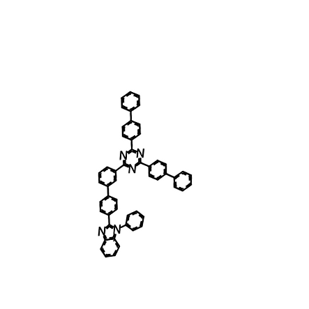 c1ccc(-c2ccc(-c3nc(-c4ccc(-c5ccccc5)cc4)nc(-c4cccc(-c5ccc(-c6nc7ccccc7n6-c6ccccc6)cc5)c4)n3)cc2)cc1